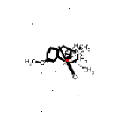 COc1ccc2c(c1)[C@]13CCN(C)[C@H](C2)[C@@H]1[C@@H](C)[C@H](C)C(=O)C3